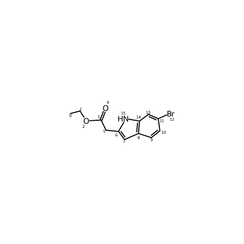 CCOC(=O)Cc1cc2ccc(Br)cc2[nH]1